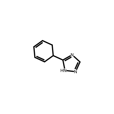 C1=CCC(c2ncn[nH]2)C=C1